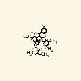 CCC(CC)C(=O)O.Cc1cc(C)nc(NC(=O)C(C(C)c2cccc(O)c2)C(CC(=O)OC=O)c2ccon2)n1